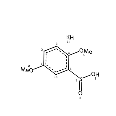 COc1ccc(OC)c(S(=O)O)c1.[KH]